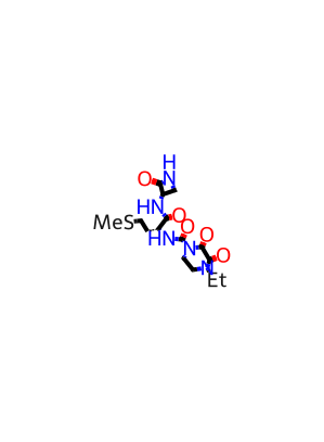 CCN1CCN(C(=O)N[C@H](CCSC)C(=O)NC2CNC2=O)C(=O)C1=O